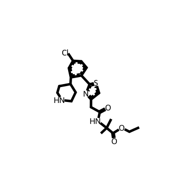 CCOC(=O)C(C)(C)NC(=O)Cc1csc(-c2ccc(Cl)cc2C2CCNCC2)n1